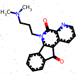 CN(C)CCCn1c2c(c3cccnc3c1=O)C(=O)c1ccccc1-2